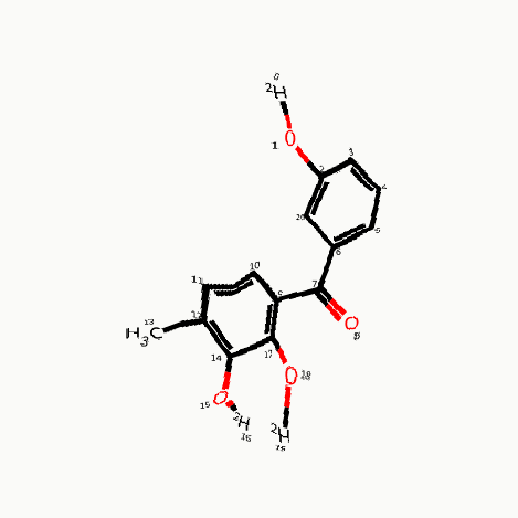 [2H]Oc1cccc(C(=O)c2ccc(C)c(O[2H])c2O[2H])c1